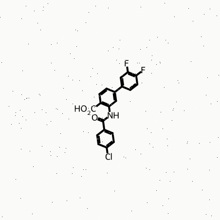 O=C(Nc1cc(-c2ccc(F)c(F)c2)ccc1C(=O)O)c1ccc(Cl)cc1